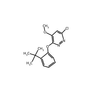 COc1cc(Cl)nnc1Oc1ccccc1C(C)(C)C